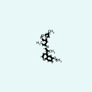 CCC(/C=C(\C=N/C)N1CC(C)C1)=N\C=C(/C)c1ccnc2cc(F)c(OC)cc12